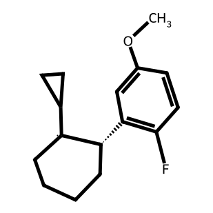 COc1ccc(F)c([C@@H]2CCCC[C]2C2CC2)c1